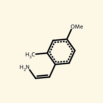 COc1ccc(/C=C\N)c(C)c1